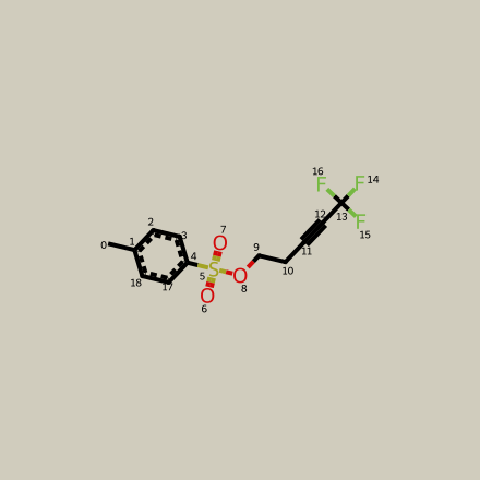 Cc1ccc(S(=O)(=O)OCCC#CC(F)(F)F)cc1